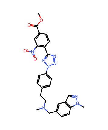 COC(=O)c1ccc(-c2nnn(-c3ccc(CCN(C)Cc4ccc5c(cnn5C)c4)cc3)n2)c([N+](=O)[O-])c1